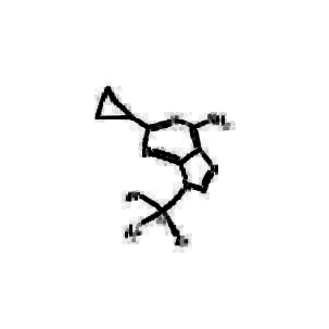 CC[C@@](C)(C(C)C)n1cnc2c(N)nc(C3CC3)nc21